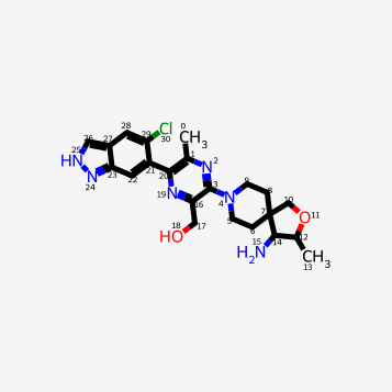 Cc1nc(N2CCC3(CC2)COC(C)C3N)c(CO)nc1-c1cc2n[nH]cc2cc1Cl